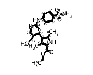 CCOC(=O)c1[nH]c(C)c(-c2nc(Nc3ccc(S(N)(=O)=O)cc3)ncc2CO)c1C